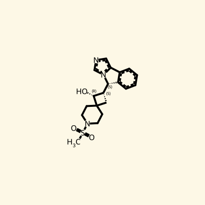 CS(=O)(=O)N1CCC2(CC1)C[C@@H]([C@H]1c3ccccc3-c3cncn31)[C@H]2O